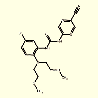 COCCN(CCOC)c1ccc(Br)cc1NC(=O)Nc1cnc(C#N)cn1